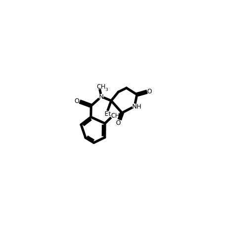 CCC1(N(C)C(=O)c2ccccc2C)CCC(=O)NC1=O